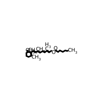 CCCCCCC(=O)OC/C=C(C)/C=C/C=C(C)/C=C/C1=C(C)CCCC1(C)C